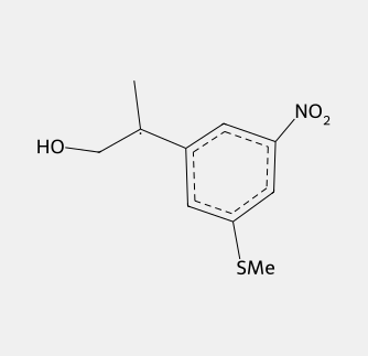 CSc1cc([C](C)CO)cc([N+](=O)[O-])c1